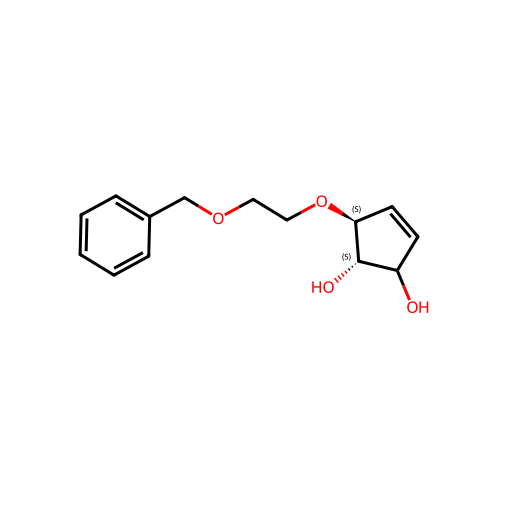 OC1C=C[C@H](OCCOCc2ccccc2)[C@H]1O